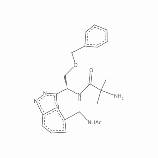 CC(=O)NCc1cccc2nnc([C@@H](COCc3ccccc3)NC(=O)C(C)(C)N)n12